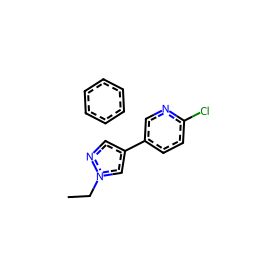 CCn1cc(-c2ccc(Cl)nc2)cn1.c1ccccc1